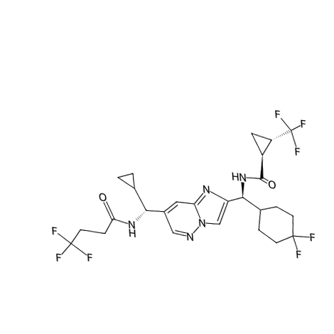 O=C(CCC(F)(F)F)N[C@@H](c1cnn2cc([C@@H](NC(=O)[C@H]3C[C@@H]3C(F)(F)F)C3CCC(F)(F)CC3)nc2c1)C1CC1